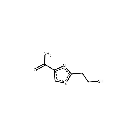 NC(=O)c1csc(CCS)n1